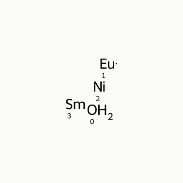 O.[Eu].[Ni].[Sm]